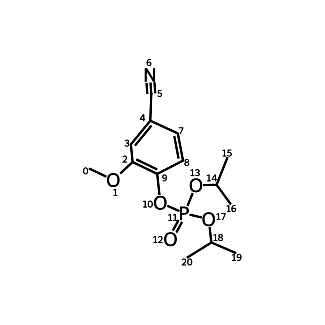 COc1cc(C#N)ccc1OP(=O)(OC(C)C)OC(C)C